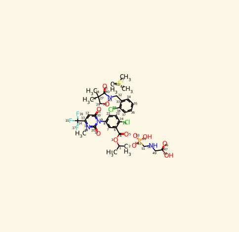 CC(C)OC(=O)c1cc(-n2c(=O)cc(C(F)(F)F)n(C)c2=O)ccc1Cl.CC1(C)CON(Cc2ccccc2Cl)C1=O.C[S+](C)C.O=C(O)CNCP(=O)([O-])O